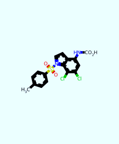 Cc1ccc(S(=O)(=O)n2ccc3c(NC(=O)O)cc(Cl)c(Cl)c32)cc1